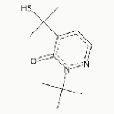 CC(C)(S)c1ccnn(C(C)(C)C)c1=O